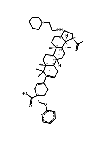 C=C(C)[C@@H]1CC[C@]2(NCCN3CCCCC3)CC[C@]3(C)[C@H](CC[C@@H]4[C@@]5(C)CC=C(C6=CC[C@](COc7ccccn7)(C(=O)O)CC6)C(C)(C)[C@@H]5CC[C@]43C)[C@@H]12